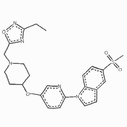 CCc1noc(CN2CCC(Oc3ccc(-n4ccc5cc(S(C)(=O)=O)ccc54)nc3)CC2)n1